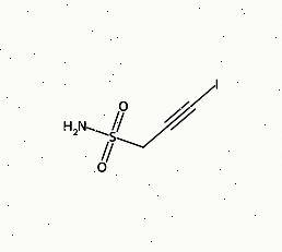 NS(=O)(=O)CC#CI